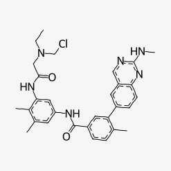 CCN(CCl)CC(=O)Nc1cc(NC(=O)c2ccc(C)c(-c3ccc4nc(NC)ncc4c3)c2)cc(C)c1C